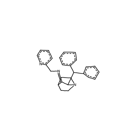 c1ccc(C(c2ccccc2)C2/C(=N/Cc3ccccn3)C3CCN2CC3)cc1